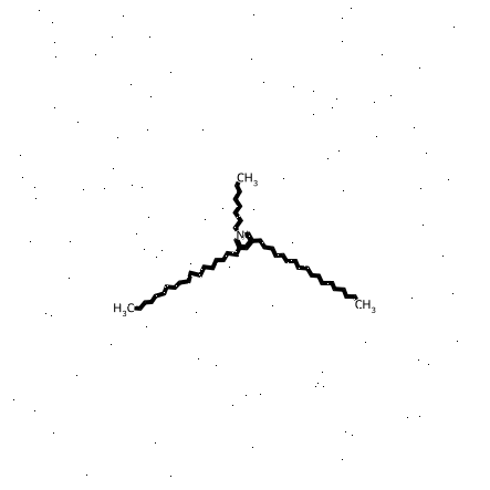 CCCCCCCCCCCCCCCCCCc1cc(CCCCCCCCCCCCCCCCCC)c[n+](CCCCCCCC)c1